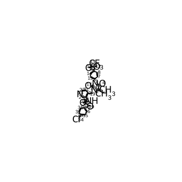 CC1(C)C(=O)N(c2ccc(S(=O)(=O)C(F)(F)F)cc2)C(=O)N1Cc1ccncc1NS(=O)(=O)c1ccc(Cl)cc1